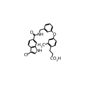 Cc1cc(Oc2cccc(CNC(=O)c3ccc4c(Cl)c[nH]c4c3)c2)ccc1CCC(=O)O